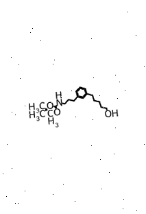 CC(C)(C)OC(=O)NCCCc1cccc(CCCCCO)c1